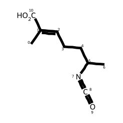 CC(=CCCC(C)N=C=O)C(=O)O